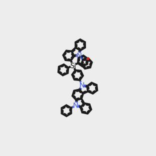 c1ccc(-n2c3ccccc3c3c4c5ccccc5n(-c5ccc([Si](c6ccccc6)(c6ccccc6)c6cccc7c8ccccc8n(-c8ccccc8)c67)cc5)c4ccc32)cc1